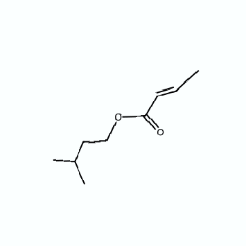 CC=CC(=O)OCCC(C)C